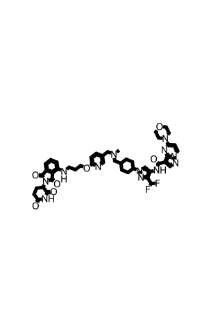 CN(Cc1ccc(OCCCNc2cccc3c2C(=O)N(C2CCC(=O)NC2=O)C3=O)nc1)CC1CCC(n2cc(NC(=O)c3cnn4ccc(N5CCOCC5)nc34)c(C(F)F)n2)CC1